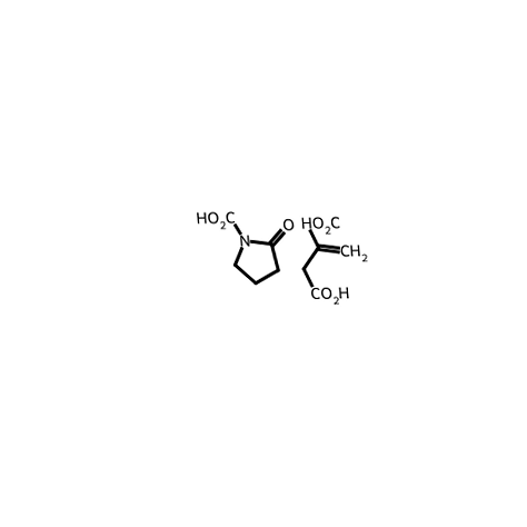 C=C(CC(=O)O)C(=O)O.O=C(O)N1CCCC1=O